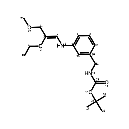 CCO/C(=C\Nc1cccc(CNC(=O)OC(C)(C)C)c1)COC